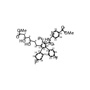 COC(=O)CC(O)CC(O)CCc1c(-c2ccc(F)cc2)c(-c2ccc(F)cc2)c(C(=O)Nc2ccc(C(=O)OC)cn2)n1C(C)C